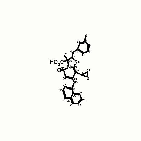 Cc1cccc(CC2Sc3c(C4CC4)c(Cc4cccc5ccccc45)cc(=O)n3C2(C)C(=O)O)c1